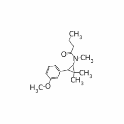 CCCC(=O)N(C)C1C(c2cccc(OC)c2)C1(C)C